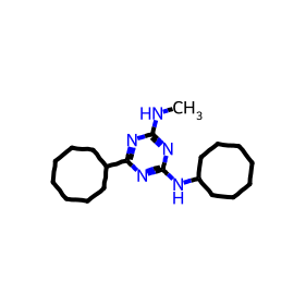 CNc1nc(NC2CCCCCCC2)nc(C2CCCCCCC2)n1